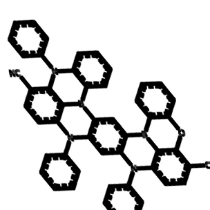 N#Cc1ccc2c3c1Oc1ccccc1B3c1cc3c(cc1N2c1ccccc1)N(c1ccccc1)c1ccc(C#N)c2c1B3c1ccccc1N2c1ccccc1